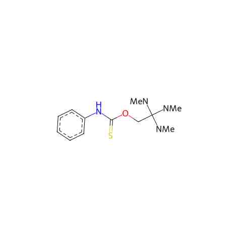 CNC(COC(=S)Nc1ccccc1)(NC)NC